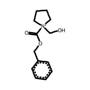 O=C(OCc1ccccc1)[N+]1(CO)CCCC1